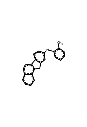 Cc1ccccc1Nc1ccc2c(c1)Cc1c-2ccc2ccccc12